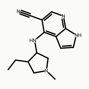 CCC1CN(C)CC1Nc1c(C#N)cnc2[nH]ccc12